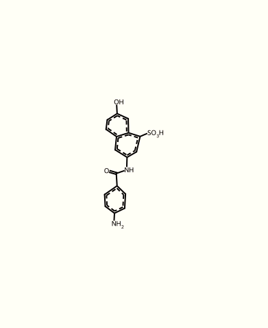 Nc1ccc(C(=O)Nc2cc(S(=O)(=O)O)c3cc(O)ccc3c2)cc1